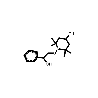 CC1(C)CC(O)CC(C)(C)N1OCC(O)c1ccccc1